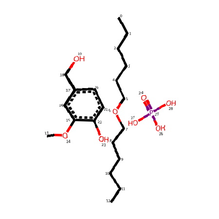 CCCCCCOCCCCCC.COc1cc(CO)ccc1O.O=P(O)(O)O